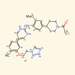 COc1cc(C2CCN(C(=O)C(F)(F)F)CC2)ccc1Nc1ncc(-c2ccc(C#N)c(O[C@@H](C)Cn3cnnn3)c2)cn1